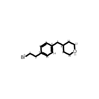 BrCCc1ccc(CC2CCOCC2)cc1